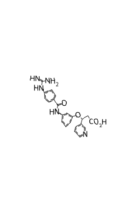 N=C(N)Nc1ccc(C(=O)Nc2cccc(OC(CC(=O)O)c3cccnc3)c2)cc1